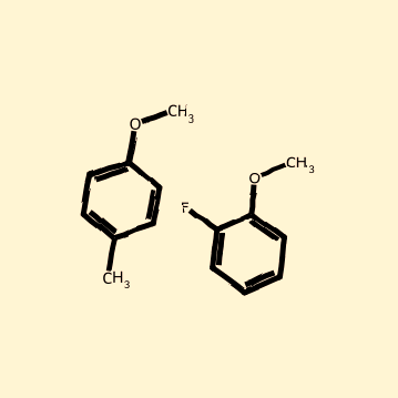 COc1ccc(C)cc1.COc1ccccc1F